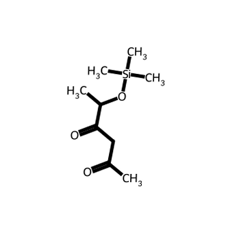 CC(=O)CC(=O)C(C)O[Si](C)(C)C